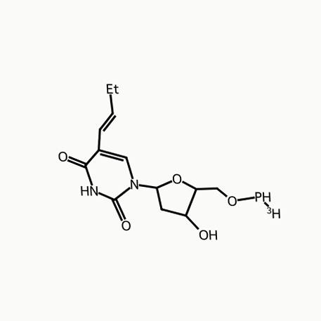 [3H]POCC1OC(n2cc(/C=C/CC)c(=O)[nH]c2=O)CC1O